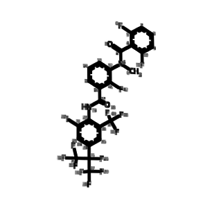 CN(C(=O)c1c(F)cccc1F)c1cccc(C(=O)Nc2c(I)cc(C(F)(C(F)(F)F)C(F)(F)F)cc2C(F)(F)F)c1F